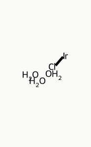 O.O.O.[Cl][Ir]